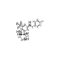 Cc1ccc(CNc2cc3c(c(C(F)(F)F)c2)N[C@H]2CCNC[C@@H]32)cc1